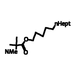 CCCCCCCCCCCCOC(=O)C(C)(C)NC